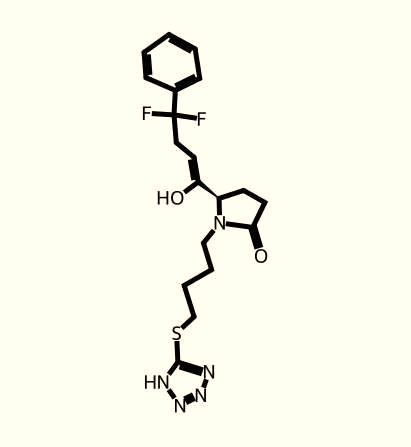 O=C1CC[C@H](C(O)=CCC(F)(F)c2ccccc2)N1CCCCSc1nnn[nH]1